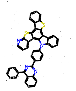 c1ccc(-c2nc(-c3ccc(-n4c5ccccc5c5c6sc7ccccc7c6c6sc7ncccc7c6c54)cc3)nc3ccccc23)cc1